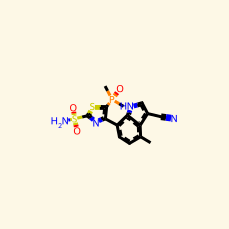 Cc1ccc(-c2nc(S(N)(=O)=O)sc2P(C)(C)=O)c2[nH]cc(C#N)c12